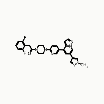 Cn1cc(-c2cc(-c3ccc(N4CCN(C(=O)Cc5c(F)cccc5F)CC4)nc3)c3ccnn3c2)cn1